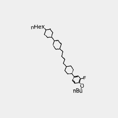 CCCCCCC1CCC(C2CCC(CCCCC3CCC(c4ccc(OCCCC)c(F)c4)CC3)CC2)CC1